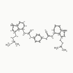 CN(C)CCc1c[nH]c2cccc(OC(=O)Cc3ccc(CC(=O)Oc4cccc5[nH]cc(CCN(C)C)c45)cc3)c12